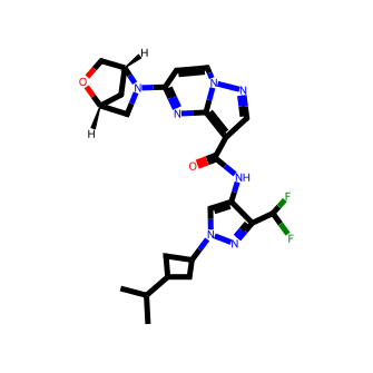 CC(C)C1CC(n2cc(NC(=O)c3cnn4ccc(N5C[C@H]6C[C@@H]5CO6)nc34)c(C(F)F)n2)C1